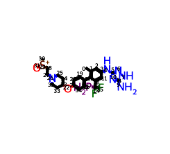 Cc1cc(Nc2n[nH]c(N)n2)cc(C(F)(F)P)c1-c1ccc(OC2CCN(CC[S+](C)[O-])CC2)cc1